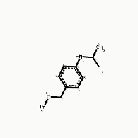 CC(I)Nc1ccc(COC(C)C)cc1